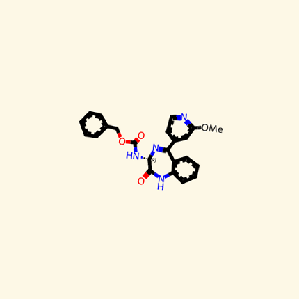 COc1cc(C2=N[C@@H](NC(=O)OCc3ccccc3)C(=O)Nc3ccccc32)ccn1